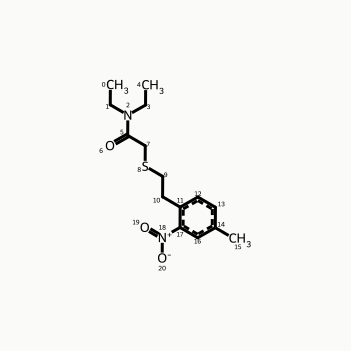 CCN(CC)C(=O)CSCCc1ccc(C)cc1[N+](=O)[O-]